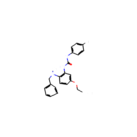 CCCN(Cc1ccccc1)c1ccc(OCC(=O)O)cc1NC(=O)Nc1ccc(C(F)(F)F)cc1